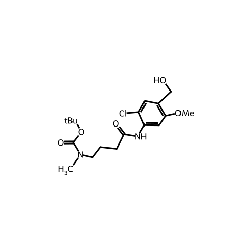 COc1cc(NC(=O)CCCN(C)C(=O)OC(C)(C)C)c(Cl)cc1CO